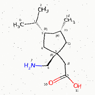 CC(C)[C@H]1C[C@@](CN)(CC(=O)O)C[C@H]1C